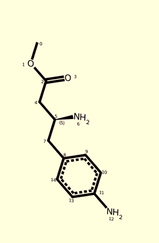 COC(=O)C[C@@H](N)Cc1ccc(N)cc1